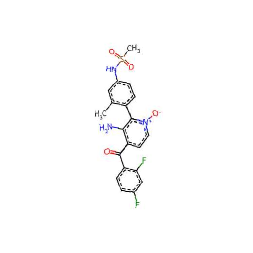 Cc1cc(NS(C)(=O)=O)ccc1-c1c(N)c(C(=O)c2ccc(F)cc2F)cc[n+]1[O-]